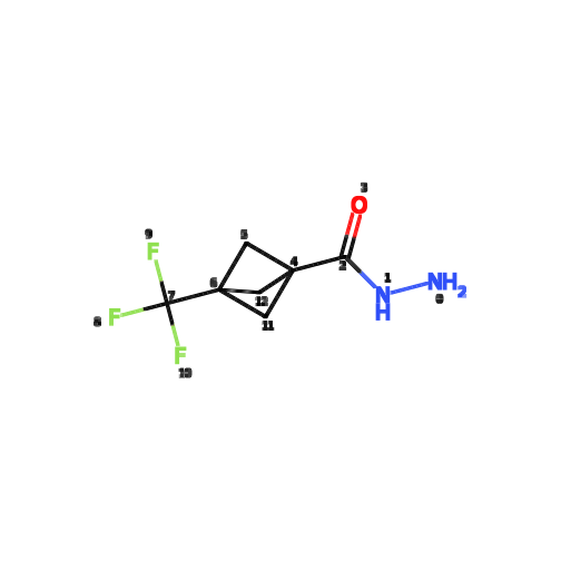 NNC(=O)C12CC(C(F)(F)F)(C1)C2